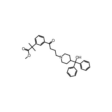 COC(=O)C(C)(C)c1cccc(C(=O)CCCN2CCC(C(O)(c3ccccc3)c3ccccc3)CC2)c1